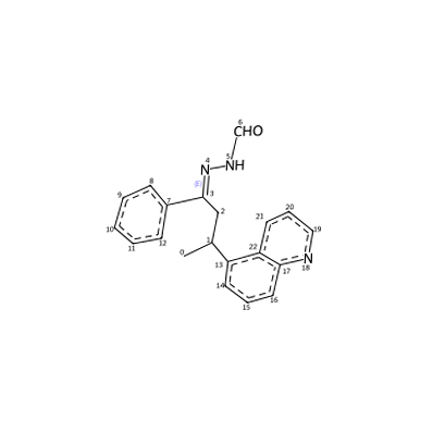 CC(C/C(=N\NC=O)c1ccccc1)c1cccc2ncccc12